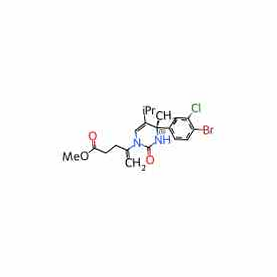 C=C(CCC(=O)OC)N1C=C(C(C)C)[C@](C)(c2ccc(Br)c(Cl)c2)NC1=O